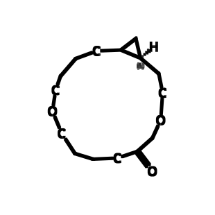 O=C1CCCCOCCCCC2C[C@H]2CCOC1